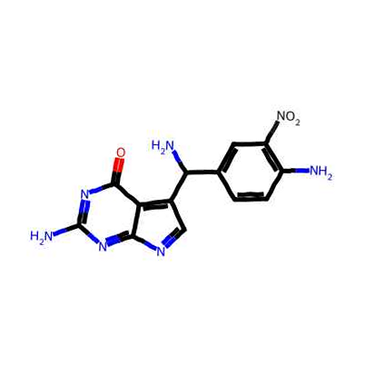 NC1=NC(=O)C2=C(C(N)c3ccc(N)c([N+](=O)[O-])c3)C=NC2=N1